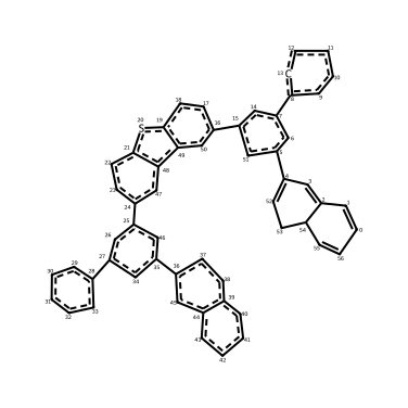 C1=CC2=CC(c3cc(-c4ccccc4)cc(-c4ccc5sc6ccc(-c7cc(-c8ccccc8)cc(-c8ccc9ccccc9c8)c7)cc6c5c4)c3)=CCC2C=C1